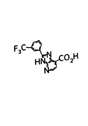 O=C(O)c1ccnc2[nH]c(-c3cccc(C(F)(F)F)c3)nc12